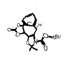 CC(C)(C)OC(=O)N1C(Cc2ccccc2)C(C2OC(=O)OC2C(=O)O)OC1(C)C